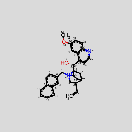 C=CC1C[N+]2(Cc3ccc4ccccc4c3)CCC1CC2[C@H](O)c1ccnc2ccc(OC)cc12